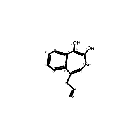 C=CCC1=CNC(O)=C(O)c2ccccc21